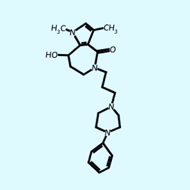 Cc1cn(C)c2c1C(=O)N(CCCN1CCN(c3ccccc3)CC1)CCC2O